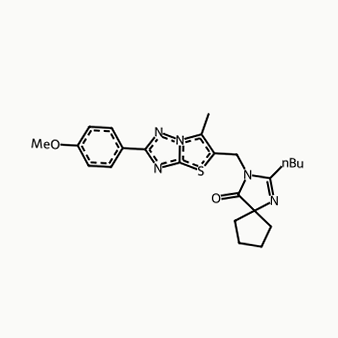 CCCCC1=NC2(CCCC2)C(=O)N1Cc1sc2nc(-c3ccc(OC)cc3)nn2c1C